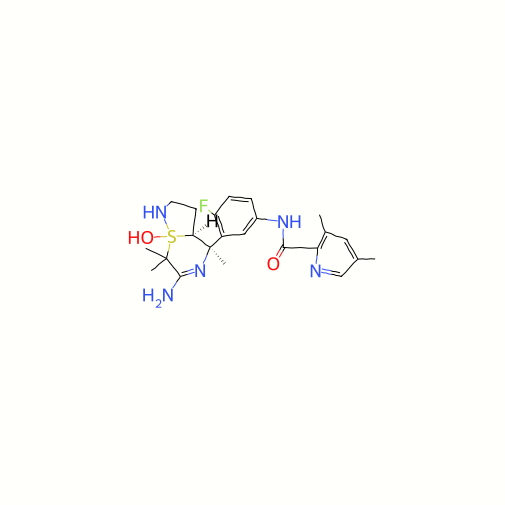 Cc1cnc(C(=O)Nc2ccc(F)c([C@@]3(C)N=C(N)C(C)(C)S4(O)NCC[C@@H]34)c2)c(C)c1